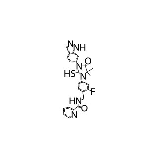 CC1(C)C(=O)N(c2ccc3cn[nH]c3c2)C(S)N1c1ccc(CNC(=O)c2ccccn2)c(F)c1